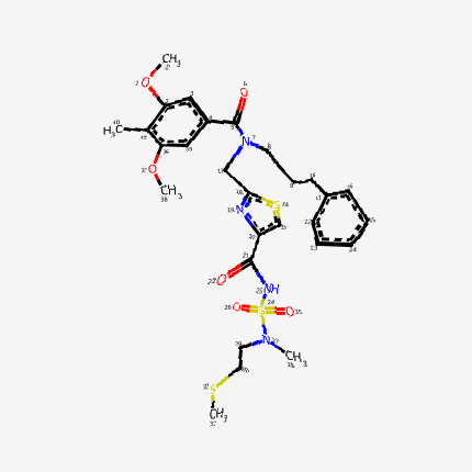 COc1cc(C(=O)N(CCCc2ccccc2)Cc2nc(C(=O)NS(=O)(=O)N(C)CCSC)cs2)cc(OC)c1C